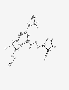 Cc1cc2nc(-c3cncn3C)cc(OCCN3CCCC3=O)c2cc1CCC#N